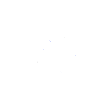 C=C1CC(N(CCCC)c2nc(NCCCO)nc(N(CCCC)C3CC(=C)N(OC4CCCCC4)C(C)(C)C3)n2)CC(C)(C)N1OC1CCCCC1